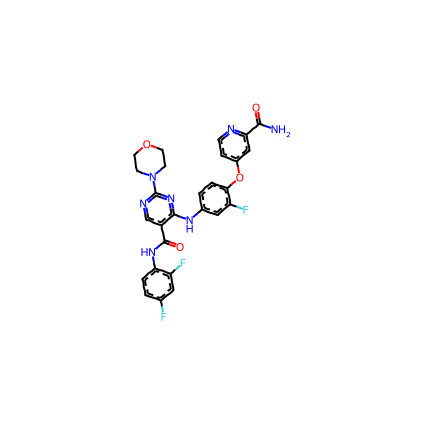 NC(=O)c1cc(Oc2ccc(Nc3nc(N4CCOCC4)ncc3C(=O)Nc3ccc(F)cc3F)cc2F)ccn1